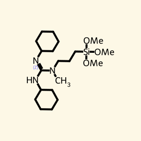 CO[Si](CCCN(C)/C(=N\C1CCCCC1)NC1CCCCC1)(OC)OC